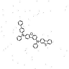 c1ccc(-c2ccc(N(c3ccccc3)c3ccc4c(c3)oc3ccc(N(c5ccccc5)c5ccc6c(c5)sc5ccccc56)cc34)cc2)cc1